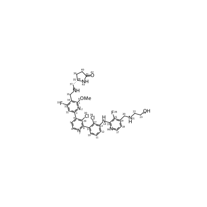 COc1nc(-c2ccnc(-c3cccc(Nc4nccc(CNCCO)c4F)c3Cl)c2Cl)cc(F)c1CNC[C@@H]1CCC(=O)N1